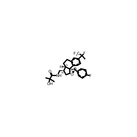 CC(C)(O)C(=O)NC[C@@H]1CC[C@@]2(S(=O)(=O)c3ccc(F)cc3)c3ccc(C(C)(F)C(F)(F)F)cc3CC[C@@H]12